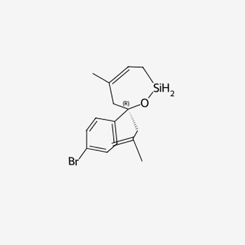 C=C(C)C[C@]1(c2ccc(Br)cc2)CC(C)=CC[SiH2]O1